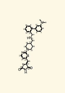 CN(C)c1cccc(-c2ccccc2CNCC2CCN(c3nccc(/C=C4\SC(=O)NC4=O)n3)CC2)c1